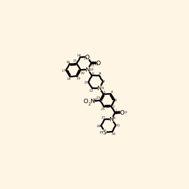 O=C(c1ccc(N2CCC(N3C(=O)OCc4ccccc43)CC2)c([N+](=O)[O-])c1)N1CCSCC1